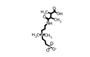 CC(C(=O)O)C(C)C(=O)NCCC[N+](C)(C)CCCS(=O)(=O)[O-]